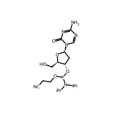 CC(C)N(C(C)C)P(OCCC#N)O[C@H]1C[C@H](n2cnc(N)nc2=O)O[C@@H]1CO